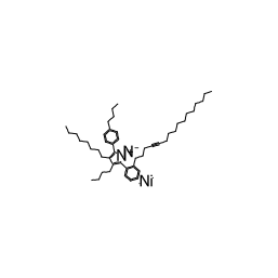 CCCCCCCCCCCC#CCCCc1ccccc1C1=C(CCCC)C(CCCCCCCC)=C(c2ccc(CCCC)cc2)[N+]1=[N-].[CH3][Ni][CH3]